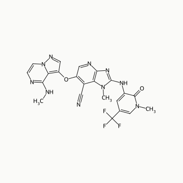 CNc1nccn2ncc(Oc3cnc4nc(Nc5cc(C(F)(F)F)cn(C)c5=O)n(C)c4c3C#N)c12